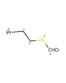 CC(C)CCS[C]=O